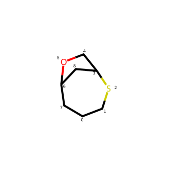 C1CSC2COC(C1)C2